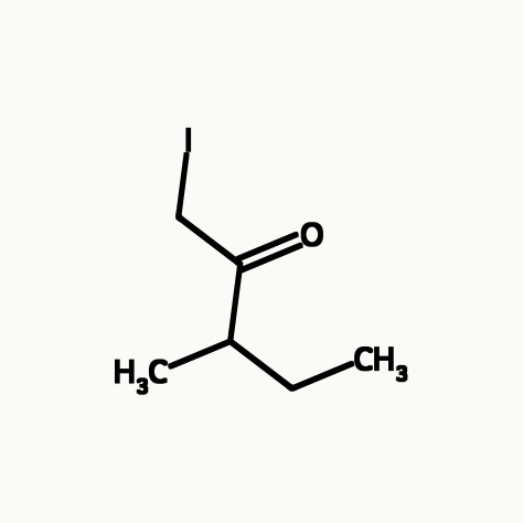 CCC(C)C(=O)CI